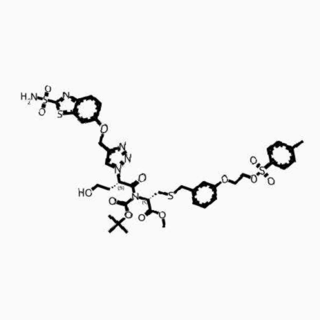 COC(=O)[C@@H](CSCc1cccc(OCCOS(=O)(=O)c2ccc(C)cc2)c1)N(C(=O)OC(C)(C)C)C(=O)[C@H](CCO)n1cc(COc2ccc3nc(S(N)(=O)=O)sc3c2)nn1